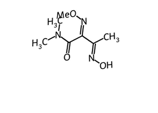 CO/N=C(C(=O)N(C)C)/C(C)=N/O